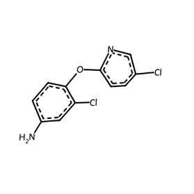 Nc1ccc(Oc2ccc(Cl)cn2)c(Cl)c1